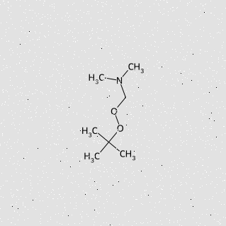 CN(C)COOC(C)(C)C